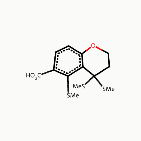 CSc1c(C(=O)O)ccc2c1C(SC)(SC)CCO2